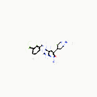 Cc1nc(NC(C)c2cccc(C(F)F)c2F)c2cc(C3CCN(C)CC3F)c(=O)n(C)c2n1